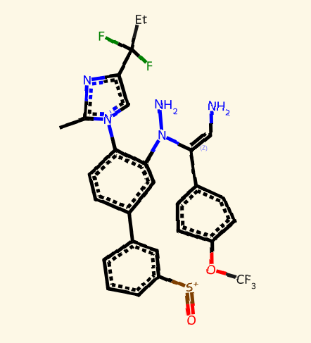 CCC(F)(F)c1cn(-c2ccc(-c3cccc([S+]=O)c3)cc2N(N)/C(=C\N)c2ccc(OC(F)(F)F)cc2)c(C)n1